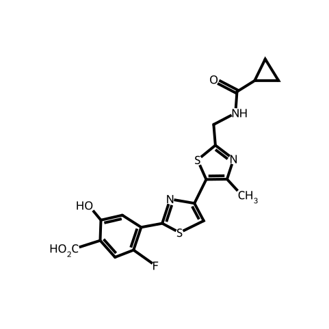 Cc1nc(CNC(=O)C2CC2)sc1-c1csc(-c2cc(O)c(C(=O)O)cc2F)n1